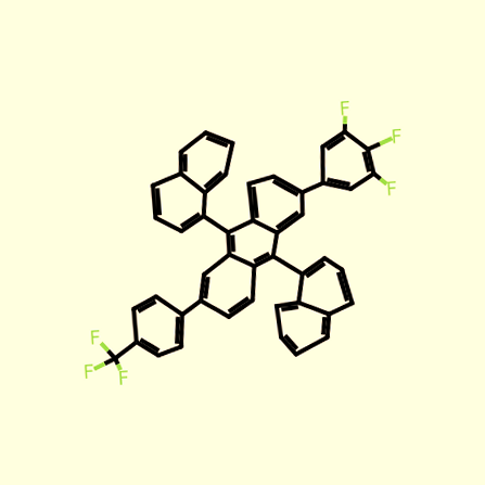 Fc1cc(-c2ccc3c(-c4cccc5ccccc45)c4cc(-c5ccc(C(F)(F)F)cc5)ccc4c(-c4cccc5ccccc45)c3c2)cc(F)c1F